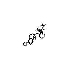 CC(C)(C)OC(=O)N1CCCCC1C(O)c1ccc2cc(Cl)ccc2n1